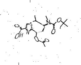 CC(=O)O[C@@H](C[C@@H](C(C)C)N(C)C(=O)OC(C)(C)C)c1nc(C(=O)O)cs1